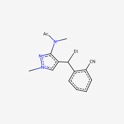 CCC(c1ccccc1C#N)c1cn(C)nc1N(C)C(C)=O